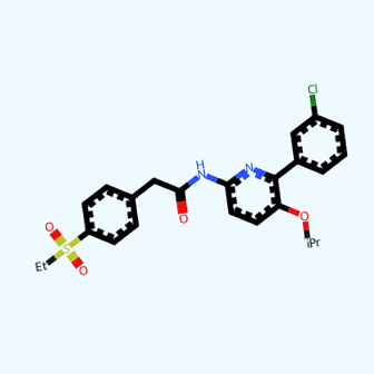 CCS(=O)(=O)c1ccc(CC(=O)Nc2ccc(OC(C)C)c(-c3cccc(Cl)c3)n2)cc1